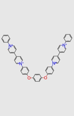 c1ccc(-[n+]2ccc(-c3cc[n+](-c4ccc(Oc5ccc(Oc6ccc(-[n+]7ccc(-c8cc[n+](-c9ccccc9)cc8)cc7)cc6)cc5)cc4)cc3)cc2)cc1